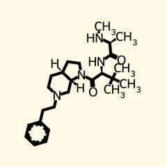 CN[C@@H](C)C(=O)N[C@H](C(=O)N1CC[C@@H]2CCN(CCc3ccccc3)C[C@H]21)C(C)(C)C